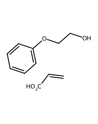 C=CC(=O)O.OCCOc1ccccc1